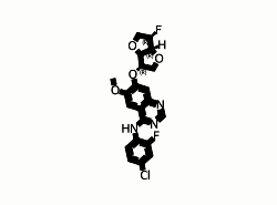 COc1cc2c(Nc3ccc(Cl)cc3F)ncnc2cc1O[C@@H]1CO[C@@H]2C1OC[C@H]2F